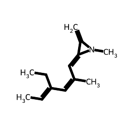 C=C1/C(=C/C(C)=C\C(=C\C)CC)N1C